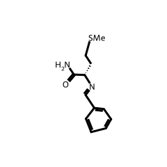 CSCC[C@H](N=Cc1ccccc1)C(N)=O